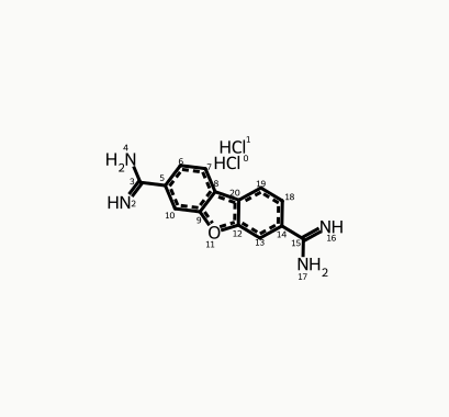 Cl.Cl.N=C(N)c1ccc2c(c1)oc1cc(C(=N)N)ccc12